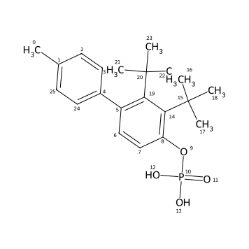 Cc1ccc(-c2ccc(OP(=O)(O)O)c(C(C)(C)C)c2C(C)(C)C)cc1